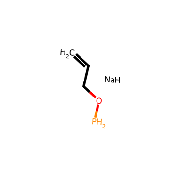 C=CCOP.[NaH]